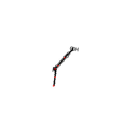 CCCCCCCCCCCCCCCCc1cn(CCOCCOCCOCCOCCOCCOCCOCCCCCC(=O)O)nn1